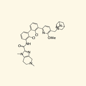 COc1nc(-c2cccc(-c3cccc(NC(=O)c4nc5c(n4C)CCN(C)C5)c3Cl)c2Cl)ccc1CN1CC2CC(C1)N2C(C)=O